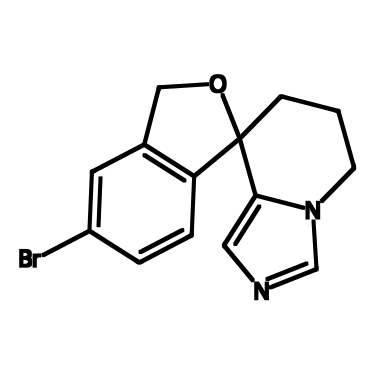 Brc1ccc2c(c1)COC21CCCn2cncc21